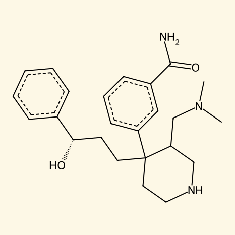 CN(C)CC1CNCCC1(CC[C@H](O)c1ccccc1)c1cccc(C(N)=O)c1